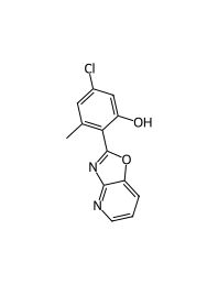 Cc1cc(Cl)cc(O)c1-c1nc2ncccc2o1